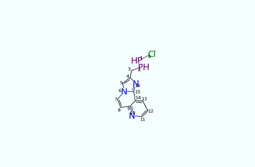 ClPPCc1cn2ccc3ncccc3c2n1